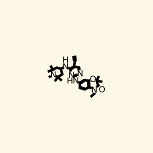 C#Cc1cnc(Nc2ccc3c(c2)OC(C)(C)C(=O)N3CC)nc1NC1CC(C)(C)N(C)C(C)(C)C1